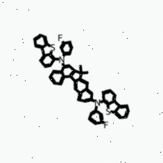 CC1(C)c2cc3cc(N(c4cccc(F)c4)c4cccc5c4sc4ccccc45)ccc3cc2-c2c1cc(N(c1cccc(F)c1)c1cccc3c1sc1ccccc13)c1ccccc21